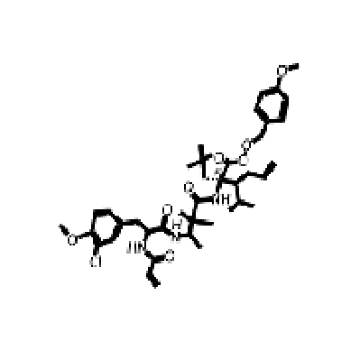 C=CCC(C(C)C)[C@@](CC(C)(C)C)(NC(=O)C(C)(C)C(C)NC(=O)C(Cc1ccc(OC)c(Cl)c1)NC(=O)C=C)C(=O)OOCc1ccc(OC)cc1